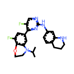 CC(C)N1CCOc2c(F)cc(-c3nc(Nc4ccc5c(c4)NCCC5)ncc3F)cc21